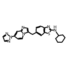 c1cnn(-c2ccn3c(Cc4ccc5nc(NC6CCCCC6)sc5c4)cnc3c2)n1